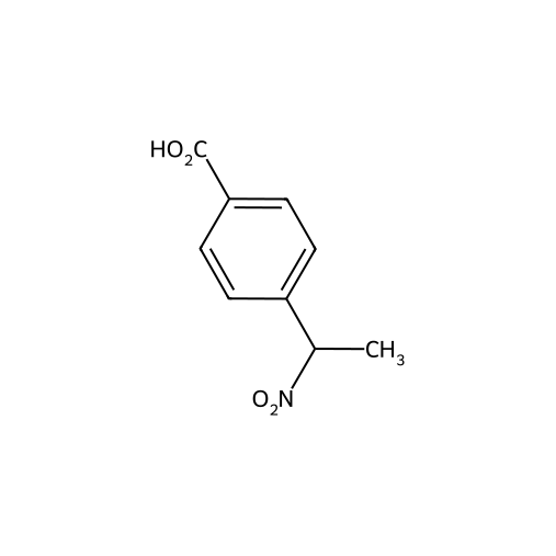 CC(c1ccc(C(=O)O)cc1)[N+](=O)[O-]